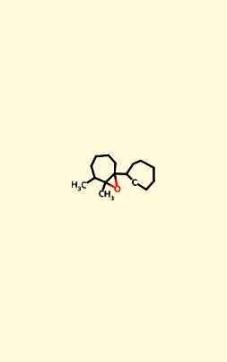 CC1CCCCC2(C3CCCCCC3)OC12C